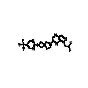 FC(F)Cn1ncc2ncc(N3CCC4(C3)CN(c3ncc(C(F)(F)F)cn3)C4)nc21